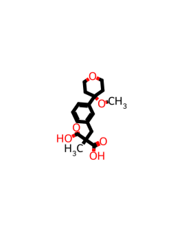 COC1(c2cccc(CC(C)(C(=O)O)C(=O)O)c2)CCOCC1